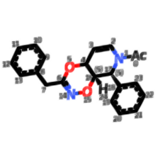 CC(=O)N1C=CC2OC(Cc3ccccc3)=NO[C@H]2[C@@H]1c1ccccc1